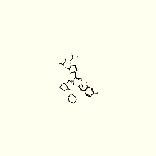 C/C(=C\c1ccc(F)cc1F)CN(C[C@@H]1CCCN1CC1CCCCC1)C(=O)c1ccc(OC(F)F)c(OC(F)F)c1